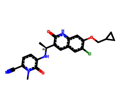 C[C@H](Nc1ccc(C#N)n(C)c1=O)c1cc2cc(Cl)c(OCC3CC3)cc2[nH]c1=O